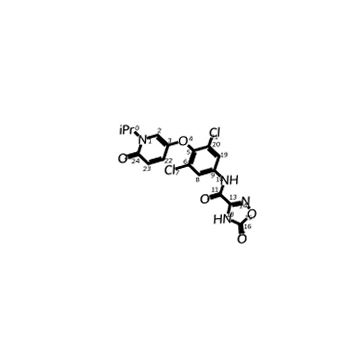 CC(C)n1cc(Oc2c(Cl)cc(NC(=O)c3noc(=O)[nH]3)cc2Cl)ccc1=O